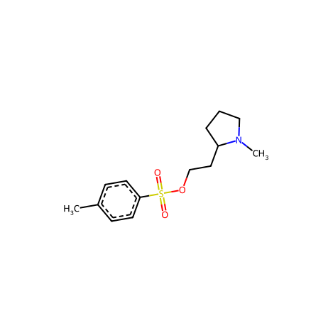 Cc1ccc(S(=O)(=O)OCCC2CCCN2C)cc1